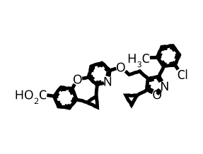 Cc1cccc(Cl)c1-c1noc(C2CC2)c1CCOc1ccc2c(n1)C1CC1c1ccc(C(=O)O)cc1O2